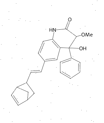 COC1C(=O)Nc2ccc(/C=C/C3CC4C=CC3C4)cc2C1(O)c1ccccc1